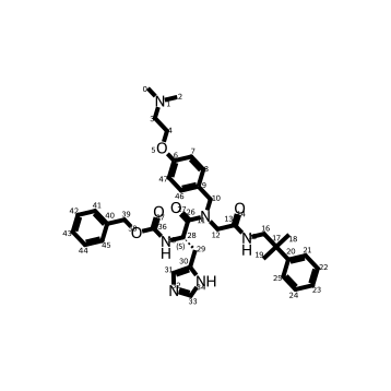 CN(C)CCOc1ccc(CN(CC(=O)NCC(C)(C)c2ccccc2)C(=O)[C@H](Cc2cnc[nH]2)NC(=O)OCc2ccccc2)cc1